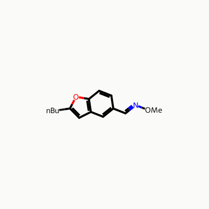 CCCCc1cc2cc(/C=N/OC)ccc2o1